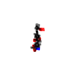 CS(=O)(=O)Nc1ccc(-c2coc3cc(C#C[C@@H]4CCC[C@H]4O)ccc3c2=O)cc1